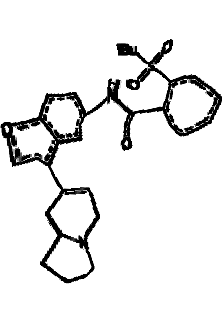 CCC(C)S(=O)(=O)c1ccccc1C(=O)Nc1ccc2occ(C3=CCN4CCCC4C3)c2c1